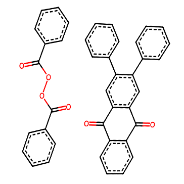 O=C(OOC(=O)c1ccccc1)c1ccccc1.O=C1c2ccccc2C(=O)c2cc(-c3ccccc3)c(-c3ccccc3)cc21